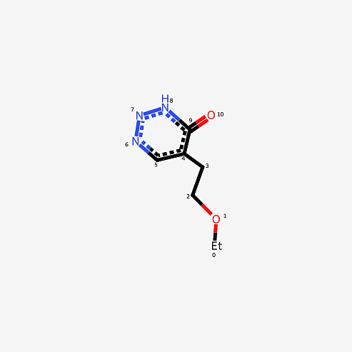 CCOCCc1cnn[nH]c1=O